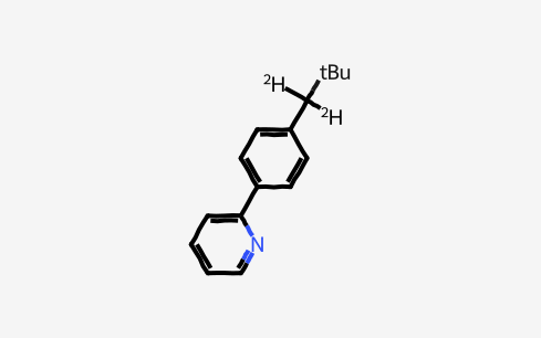 [2H]C([2H])(c1ccc(-c2ccccn2)cc1)C(C)(C)C